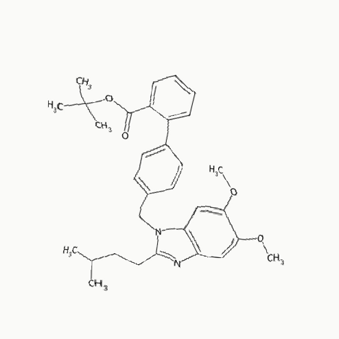 COc1cc2nc(CCC(C)C)n(Cc3ccc(-c4ccccc4C(=O)OC(C)(C)C)cc3)c2cc1OC